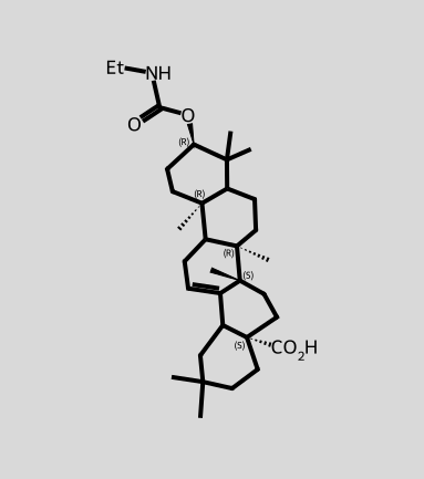 CCNC(=O)O[C@@H]1CC[C@@]2(C)C(CC[C@]3(C)C2CC=C2C4CC(C)(C)CC[C@]4(C(=O)O)CC[C@]23C)C1(C)C